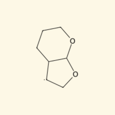 [CH]1COC2OCCCC12